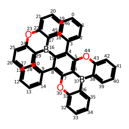 c1ccc(-c2c3c4c(c(-c5ccccc5)c2B2c5ccccc5Oc5ccccc52)Oc2ccccc2B4c2ccccc2O3)cc1